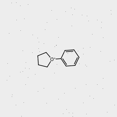 c1ccc([O+]2CCCC2)cc1